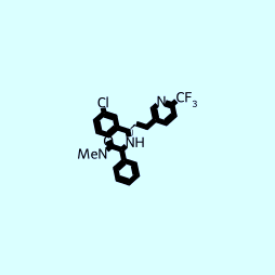 CNC(=O)C(N[C@@H](CCc1ccc(C(F)(F)F)nc1)c1cccc(Cl)c1)c1ccccc1